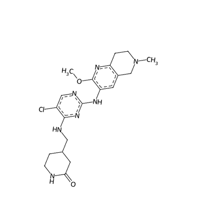 COc1nc2c(cc1Nc1ncc(Cl)c(NCC3CCNC(=O)C3)n1)CN(C)CC2